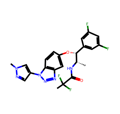 C[C@H](NC(=O)C(C)(F)F)[C@H](Oc1ccc2c(c1)nnn2-c1cnn(C)c1)c1cc(F)cc(F)c1